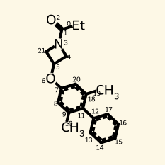 CCC(=O)N1CC(Oc2cc(C)c(-c3ccccc3)c(C)c2)C1